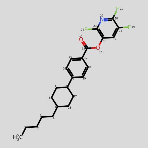 CCCCCC1CCC(c2ccc(C(=O)Oc3cc(F)c(F)nc3F)cc2)CC1